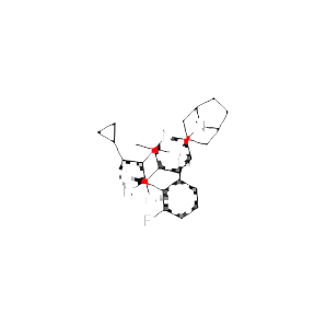 Cc1nc(N2C3CCC2CC(OCc2c(-c4c(F)cccc4Cl)noc2C2CC2)C3)ccc1C(=O)O